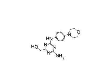 Nc1nc(CO)nc(Nc2ccc(N3CCOCC3)cc2)n1